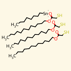 CCCCCCCCCCCCOC(=O)CS.CCCCCCCCCCCCOC(=O)CS.CCCCCCCCCCCCOC(=O)CS.CCCCCCC[CH2][Sn]